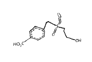 O=C(O)c1ccc(CS(=O)(=O)CCO)cc1